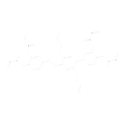 C=CC(=O)Oc1cc(/C=C/c2cc(OC/C=C/C)c(-c3ccc(OC(=O)C(=C)C)c(OC(=O)C(=C)C)c3)cc2OC/C=C/C)ccc1OC(=O)C(=C)C